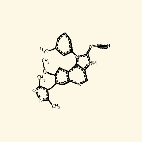 COc1cc2c(cc1-c1c(C)noc1C)ncc1[nH]c(=NC#N)n(-c3cccc(C)c3)c12